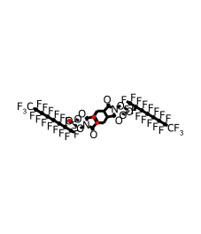 O=C1C2C3C=CC(C2C(=O)N1OS(=O)(=O)C(F)(F)C(F)(F)C(F)(F)C(F)(F)C(F)(F)C(F)(F)C(F)(F)C(F)(F)F)C1C(=O)N(OS(=O)(=O)C(F)(F)C(F)(F)C(F)(F)C(F)(F)C(F)(F)C(F)(F)C(F)(F)C(F)(F)F)C(=O)C31